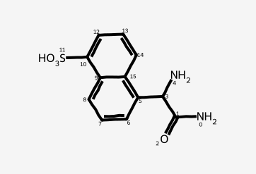 NC(=O)C(N)c1cccc2c(S(=O)(=O)O)cccc12